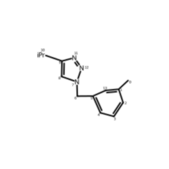 Cc1cccc(Cn2cc(C(C)C)nn2)c1